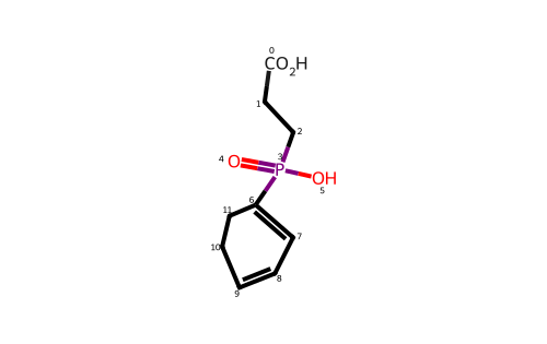 O=C(O)CCP(=O)(O)C1=CC=CCC1